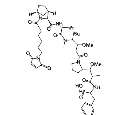 CCC(C)C(C(CC(=O)N1CCC[C@H]1C(OC)C(C)C(=O)NC(Cc1ccccc1)[PH](=O)O)OC)N(C)C(=O)C(NC(=O)[C@@H]1[C@H]2CC[C@H](C2)N1C(=O)CCCCCN1C(=O)C=CC1=O)C(C)C